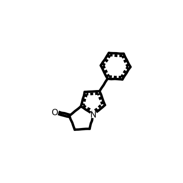 O=C1CCn2cc(-c3ccccc3)cc21